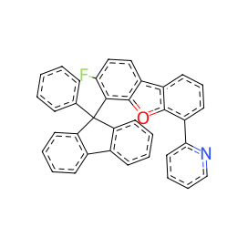 Fc1ccc2c(oc3c(-c4ccccn4)cccc32)c1C1(c2ccccc2)c2ccccc2-c2ccccc21